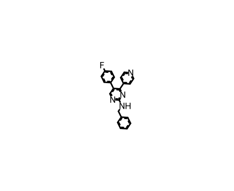 Fc1ccc(-c2cnc(NCc3ccccc3)nc2-c2ccncc2)cc1